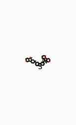 CC1(c2ccc3sc4ccc(-n5c6ccccc6c6ccccc65)cc4c3c2)C=CC2=C(C1)C(C)(C)c1ccccc12